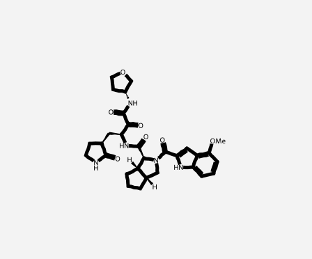 COc1cccc2[nH]c(C(=O)N3C[C@@H]4CCC[C@@H]4[C@H]3C(=O)N[C@@H](C[C@@H]3CCNC3=O)C(=O)C(=O)N[C@@H]3CCOC3)cc12